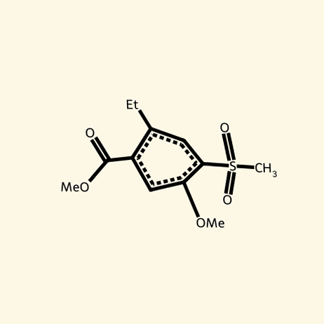 CCc1cc(S(C)(=O)=O)c(OC)cc1C(=O)OC